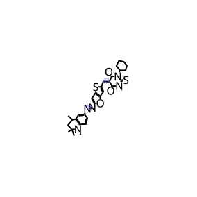 CC1CC(C)(C)N(C)c2ccc(/N=N/c3cc4sc(/C=C5\C(=O)N(C)C(=S)N(C6CCCCC6)C5=O)cc4o3)cc21